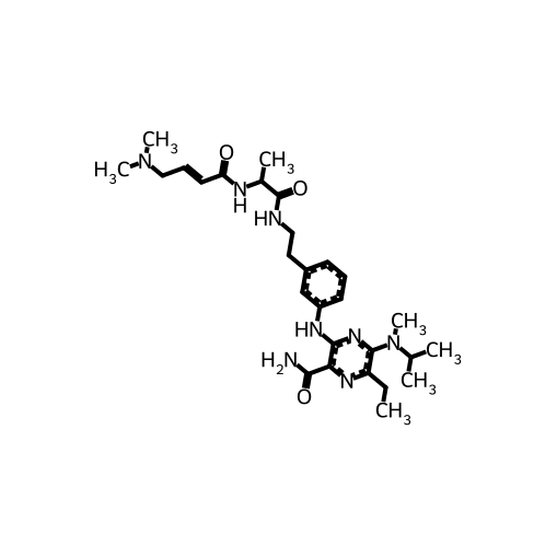 CCc1nc(C(N)=O)c(Nc2cccc(CCNC(=O)C(C)NC(=O)C=CCN(C)C)c2)nc1N(C)C(C)C